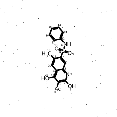 CC(=O)c1c(O)nc2cc(S(=O)(=O)Nc3ccccc3)c(C)cc2c1O